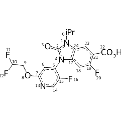 CC(C)n1c(=O)n(-c2cc(OCC(F)F)ncc2F)c2cc(F)c(C(=O)O)cc21